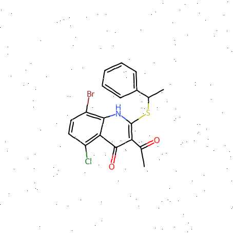 CC(=O)c1c(SC(C)c2ccccc2)[nH]c2c(Br)ccc(Cl)c2c1=O